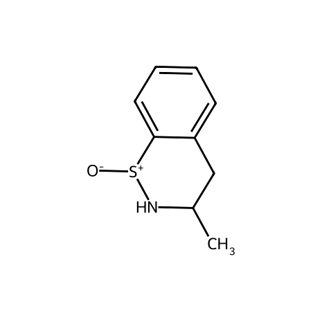 CC1Cc2ccccc2[S+]([O-])N1